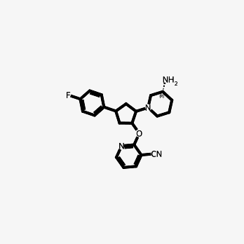 N#Cc1cccnc1OC1CC(c2ccc(F)cc2)CC1N1CCC[C@@H](N)C1